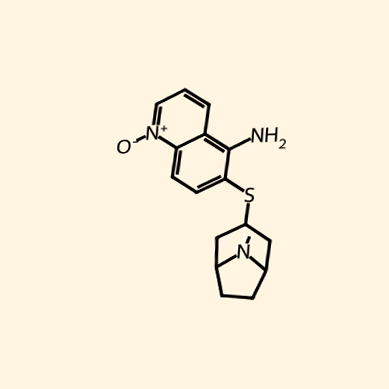 CN1C2CCC1CC(Sc1ccc3c(ccc[n+]3[O-])c1N)C2